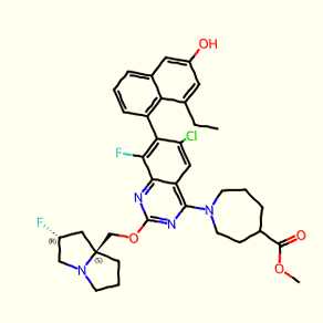 CCc1cc(O)cc2cccc(-c3c(Cl)cc4c(N5CCCC(C(=O)OC)CC5)nc(OC[C@@]56CCCN5C[C@H](F)C6)nc4c3F)c12